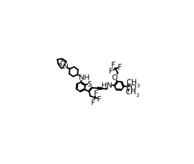 CP(C)(=O)c1ccc(NCC#Cc2sc3c(NC4CCC(N5CC6CC(C5)O6)CC4)cccc3c2CC(F)(F)F)c(OCC(F)(F)F)c1